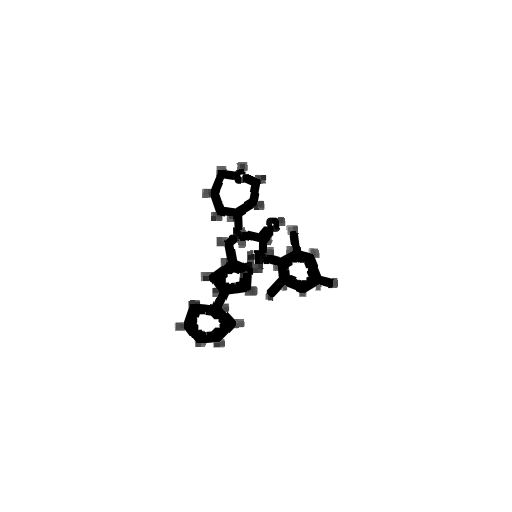 Cc1cc(C)c(NC(=O)N(Cc2cc(-c3ccccc3)cs2)C2CCCCCC2)c(C)c1